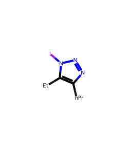 CCCc1nnn(I)c1CC